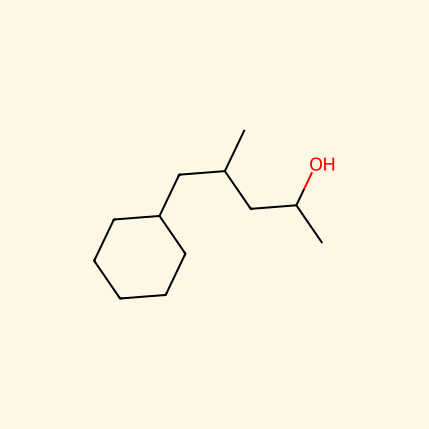 CC(O)CC(C)CC1CCCCC1